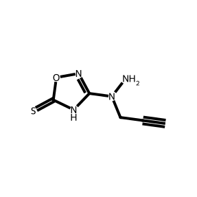 C#CCN(N)c1noc(=S)[nH]1